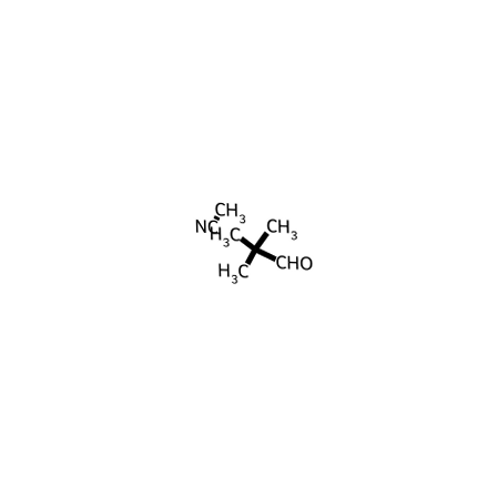 CC#N.CC(C)(C)C=O